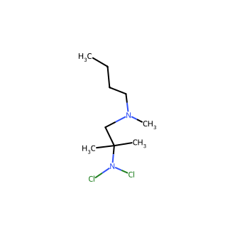 CCCCN(C)CC(C)(C)N(Cl)Cl